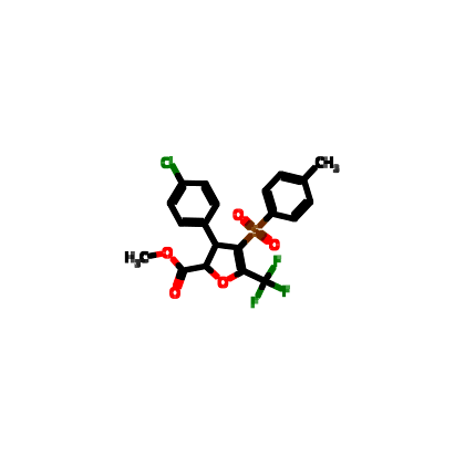 COC(=O)C1OC(C(F)(F)F)=C(S(=O)(=O)c2ccc(C)cc2)C1c1ccc(Cl)cc1